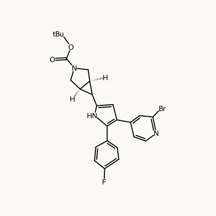 CC(C)(C)OC(=O)N1C[C@@H]2C(c3cc(-c4ccnc(Br)c4)c(-c4ccc(F)cc4)[nH]3)[C@@H]2C1